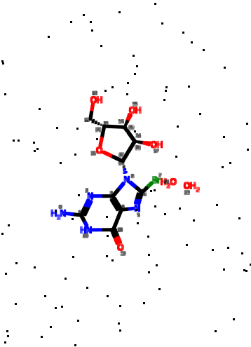 Nc1nc2c(nc(Br)n2[C@@H]2O[C@H](CO)[C@@H](O)[C@H]2O)c(=O)[nH]1.O.O